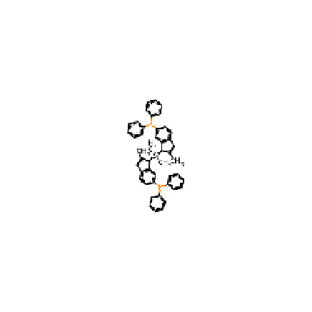 CC1=Cc2ccc(P(c3ccccc3)c3ccccc3)cc2C1[Si](C)(C)C1C(C)=Cc2ccc(P(c3ccccc3)c3ccccc3)cc21